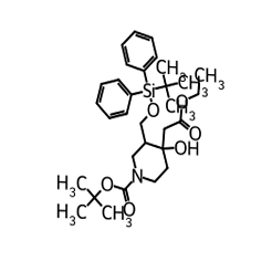 CCOC(=O)CC1(O)CCN(C(=O)OC(C)(C)C)CC1CO[Si](c1ccccc1)(c1ccccc1)C(C)(C)C